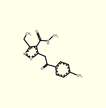 CCc1noc(CC(=O)c2ccc(C)cc2)c1C(=O)NC